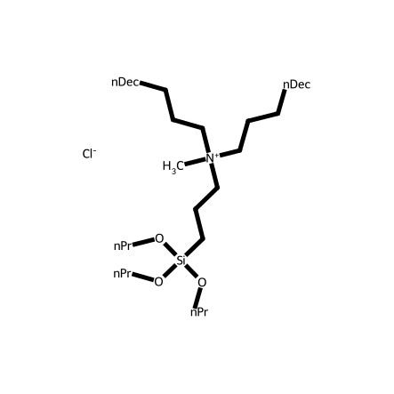 CCCCCCCCCCCCC[N+](C)(CCCCCCCCCCCCC)CCC[Si](OCCC)(OCCC)OCCC.[Cl-]